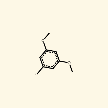 [CH]c1cc(OC)cc(OC)c1